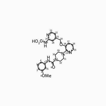 COc1cccc(NC(=O)N2CCN(c3ncccc3OCc3ccnc(NC(=O)O)c3)CC2)c1